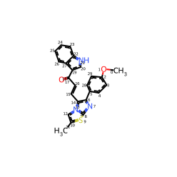 COc1ccc(-c2nc3sc(C)cn3c2C=CC(=O)c2c[nH]c3ccccc23)cc1